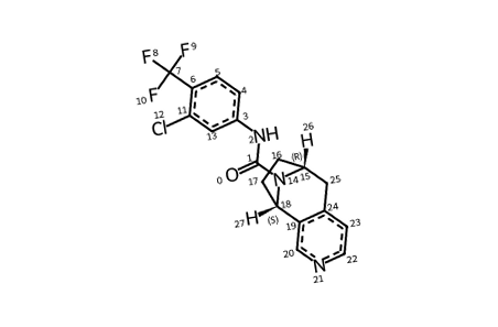 O=C(Nc1ccc(C(F)(F)F)c(Cl)c1)N1[C@@H]2CC[C@H]1c1cnccc1C2